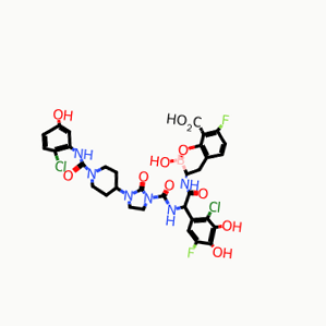 O=C(O)c1c(F)ccc2c1OB(O)[C@@H](NC(=O)C(NC(=O)N1CCN(C3CCN(C(=O)Nc4cc(O)ccc4Cl)CC3)C1=O)c1cc(F)c(O)c(O)c1Cl)C2